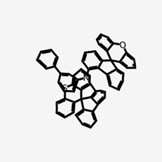 c1ccc(-c2cccc(N(c3cccc4c3-c3ccccc3C43c4ccccc4Oc4ccccc43)c3cccc4c3C3(c5ccccc5Sc5ccccc53)c3ccccc3-4)c2)cc1